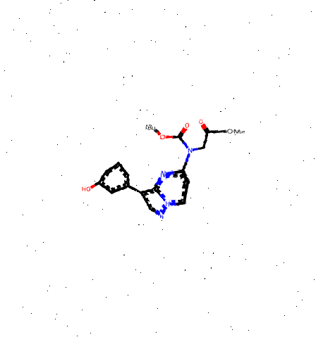 COC(=O)CN(C(=O)OC(C)(C)C)c1ccn2ncc(-c3cccc(O)c3)c2n1